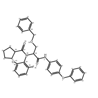 O=C(Nc1ccc(Oc2ccccc2)cc1)C(COCc1ccccc1)N(C(=O)C1CCCC1)c1c(F)cccc1Cl